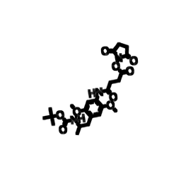 COc1cc(NC(=O)CCC(=O)ON2C(=O)CCC2=O)c(OC)cc1CC(C)NC(=O)OC(C)(C)C